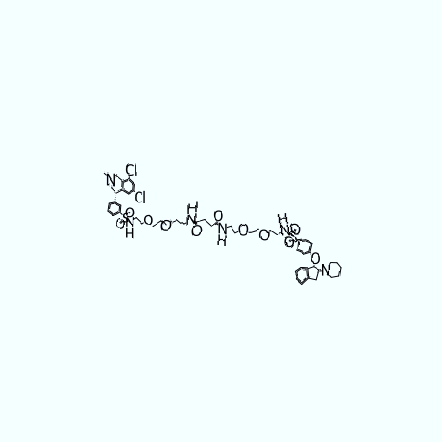 CN1Cc2c(Cl)cc(Cl)cc2[C@H](c2cccc(S(=O)(=O)NCCOCCOCCNC(=O)CCC(=O)NCCOCCOCCNS(=O)(=O)c3ccc(O[C@H]4c5ccccc5C[C@@H]4N4CCCCC4)cc3)c2)C1